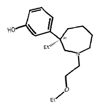 CCOCCN1CCCC[C@](CC)(c2cccc(O)c2)C1